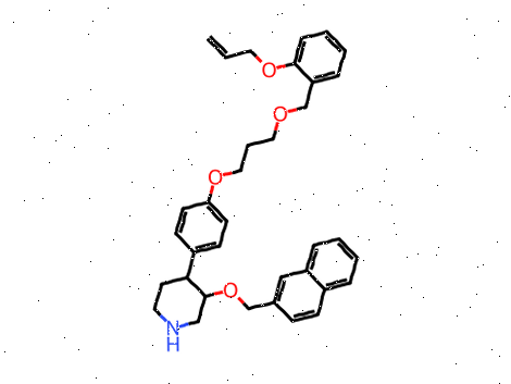 C=CCOc1ccccc1COCCCOc1ccc(C2CCNCC2OCc2ccc3ccccc3c2)cc1